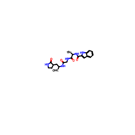 CC(C)(C)C(NC(=O)c1cc2ccccc2[nH]1)C(=O)NCC(=O)NC(C=O)CC1CCNC1=O